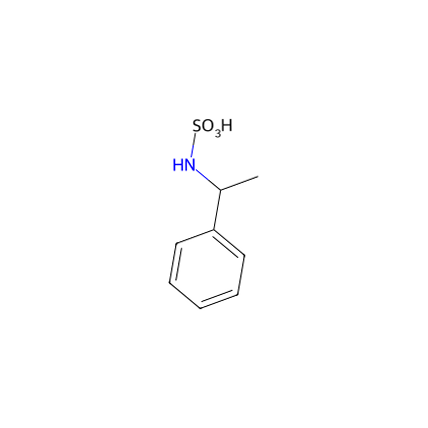 CC(NS(=O)(=O)O)c1ccccc1